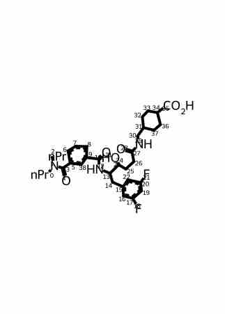 CCCN(CCC)C(=O)c1cccc(C(=O)NC(Cc2cc(F)cc(F)c2)C(O)CCC(=O)NCC2CCC(C(=O)O)CC2)c1